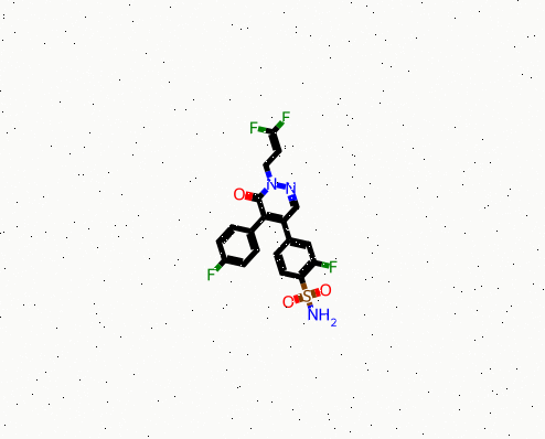 NS(=O)(=O)c1ccc(-c2cnn(CC=C(F)F)c(=O)c2-c2ccc(F)cc2)cc1F